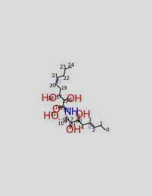 CC/C=C/C[C@@H](O)[C@@H](O)[C@H](CO)NC(=O)C(O)C(O)C/C=C\CCC